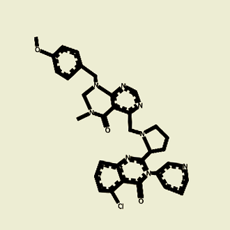 COc1ccc(CN2CN(C)C(=O)c3c(CN4CCCC4c4nc5cccc(Cl)c5c(=O)n4-c4cccnc4)ncnc32)cc1